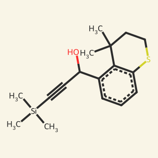 CC1(C)CCSc2cccc(C(O)C#C[Si](C)(C)C)c21